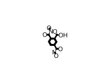 O=NC(=O)c1ccc(C(=O)N=O)c(C(=O)O)c1